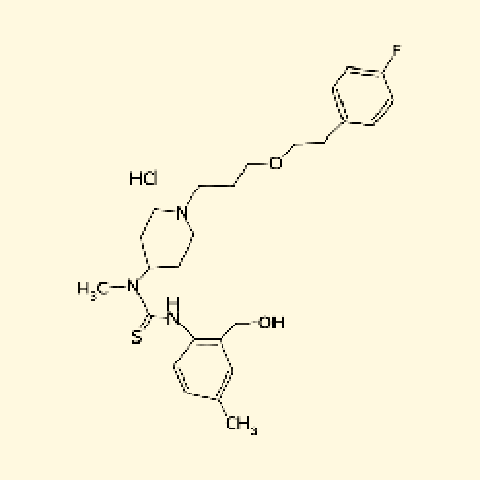 Cc1ccc(NC(=S)N(C)C2CCN(CCCOCCc3ccc(F)cc3)CC2)c(CO)c1.Cl